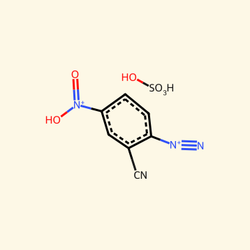 N#Cc1cc([N+](=O)O)ccc1[N+]#N.O=S(=O)(O)O